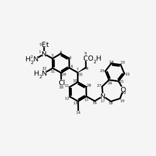 CCN(N)c1ccc([C@@H](CC(=O)O)c2ccc(C)c(CN3CCOc4ccccc4C3)c2)c(Cl)c1N